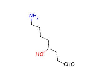 NCCCCC(O)CCC=O